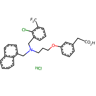 Cl.O=C(O)Cc1cccc(OCCCN(Cc2cccc(C(F)(F)F)c2Cl)Cc2cccc3ccccc23)c1